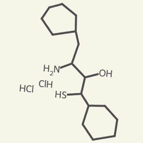 Cl.Cl.NC(CC1CCCCC1)C(O)C(S)C1CCCCC1